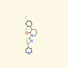 O=C1C(c2ccc(F)cc2F)CCCN1C1=NC(c2ccncc2)CS1